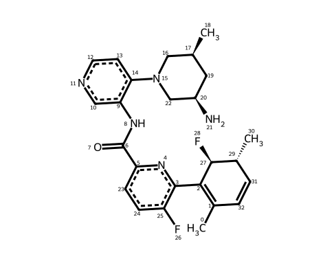 CC1=C(c2nc(C(=O)Nc3cnccc3N3C[C@@H](C)C[C@@H](N)C3)ccc2F)[C@@H](F)[C@H](C)C=C1